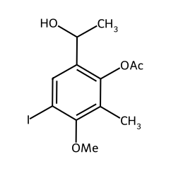 COc1c(I)cc(C(C)O)c(OC(C)=O)c1C